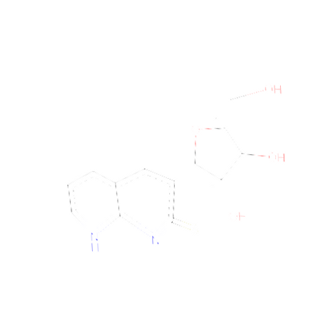 OC[C@H]1O[C@@H](c2cc3ccc[nH]c-3nc2=S)[C@@H](O)C1O